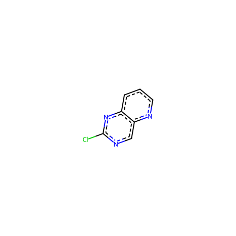 Clc1ncc2ncccc2n1